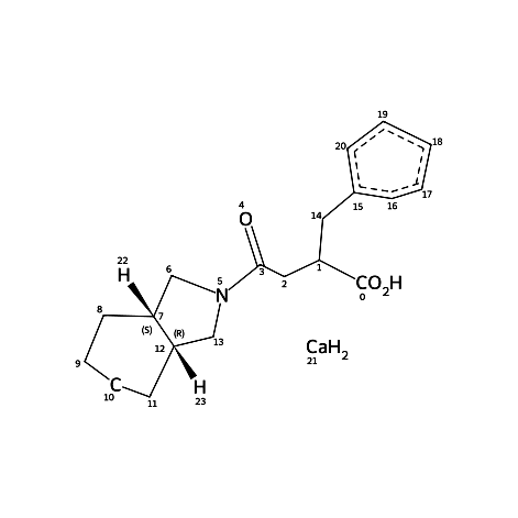 O=C(O)C(CC(=O)N1C[C@H]2CCCC[C@H]2C1)Cc1ccccc1.[CaH2]